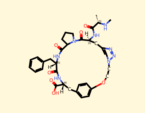 CN[C@@H](C)C(=O)N[C@H]1Cc2cn(nn2)CCOc2ccc(cc2)C[C@H](C(=O)O)NC(=O)[C@H](Cc2ccccc2)NC(=O)C2CCCN2C1=O